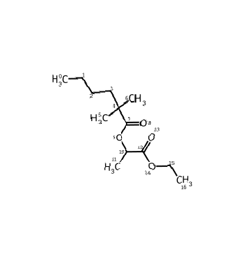 CCCCC(C)(C)C(=O)OC(C)C(=O)OCC